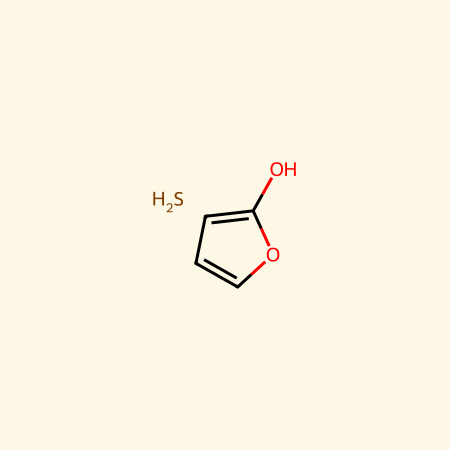 Oc1ccco1.S